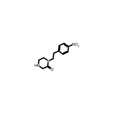 O=C1CNCCN1CCc1ccc([N+](=O)[O-])cc1